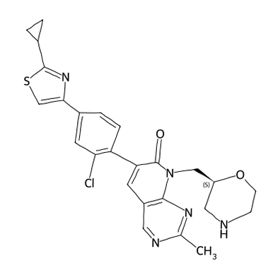 Cc1ncc2cc(-c3ccc(-c4csc(C5CC5)n4)cc3Cl)c(=O)n(C[C@@H]3CNCCO3)c2n1